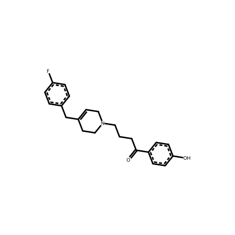 O=C(CCCN1CC=C(Cc2ccc(F)cc2)CC1)c1ccc(O)cc1